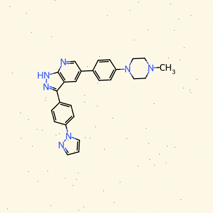 CN1CCN(c2ccc(-c3cnc4[nH]nc(-c5ccc(-n6cccn6)cc5)c4c3)cc2)CC1